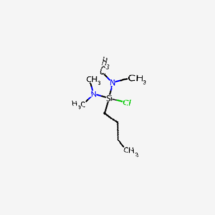 CCCC[Si](Cl)(N(C)C)N(C)C